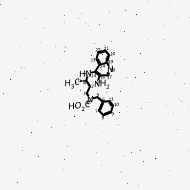 C[C@H](CCN(Cc1ccccc1)C(=O)O)Nc1c(N)cnc2ccccc12